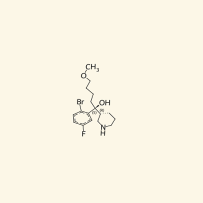 COCCCC[C@@](O)(c1cc(F)ccc1Br)[C@@H]1CCCNC1